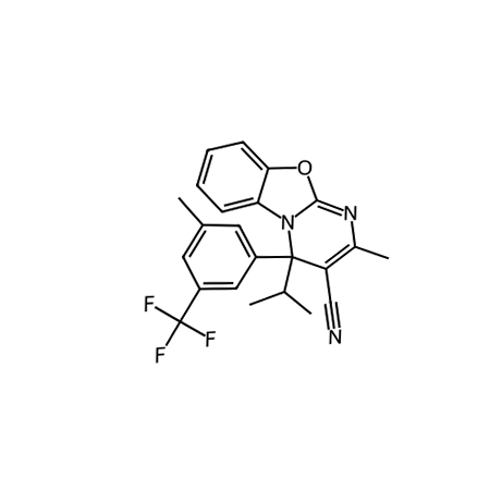 CC1=C(C#N)C(c2cc(C)cc(C(F)(F)F)c2)(C(C)C)N2C(=N1)Oc1ccccc12